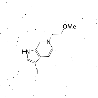 COCCN1C=Cc2c(I)c[nH]c2C1